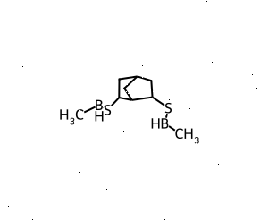 CBSC1CC2CC(SBC)C1C2